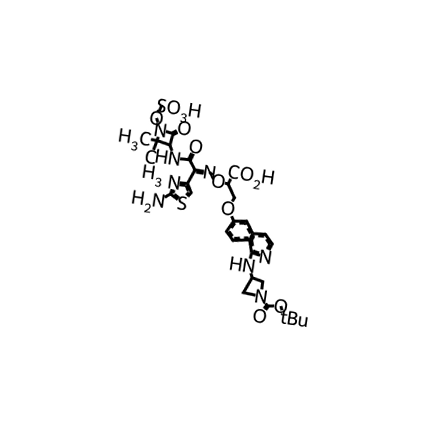 CC(C)(C)OC(=O)N1CC(Nc2nccc3cc(OCC(ON=C(C(=O)NC4C(=O)N(OS(=O)(=O)O)C4(C)C)c4csc(N)n4)C(=O)O)ccc23)C1